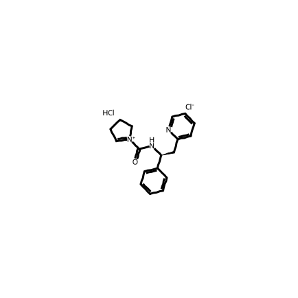 Cl.O=C(N[C@@H](Cc1ccccn1)c1ccccc1)[N+]1=CCCC1.[Cl-]